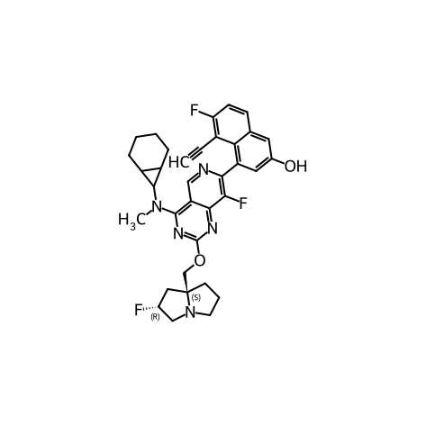 C#Cc1c(F)ccc2cc(O)cc(-c3ncc4c(N(C)C5C6CCCCC65)nc(OC[C@@]56CCCN5C[C@H](F)C6)nc4c3F)c12